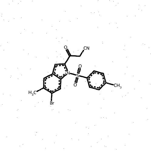 Cc1ccc(S(=O)(=O)n2c(C(=O)CC#N)cc3cc(C)c(Br)cc32)cc1